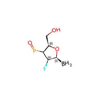 B[C@@H]1O[C@H](CO)C(P=O)[C@@H]1F